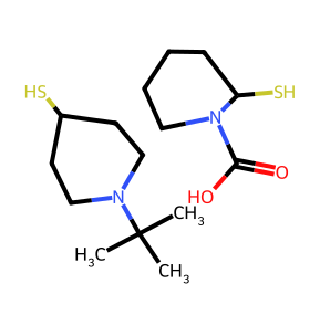 CC(C)(C)N1CCC(S)CC1.O=C(O)N1CCCCC1S